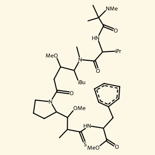 CCC(C)C(C(CC(=O)N1CCCC1C(OC)C(C)C(=S)NC(Cc1ccccc1)C(=O)OC)OC)N(C)C(=O)C(NC(=O)C(C)(C)NC)C(C)C